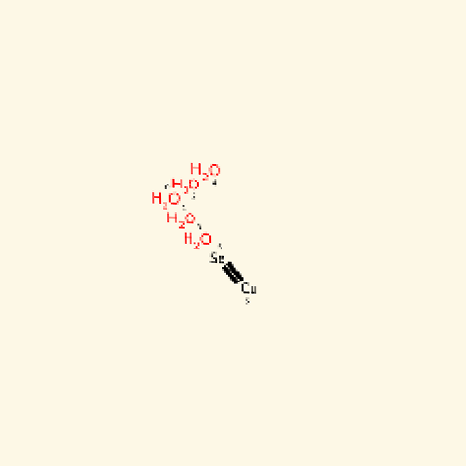 O.O.O.O.O.[Cu]=[Se]